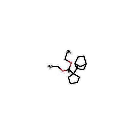 CCO[SiH](OCC)C1(C2=C3CCC(C3)C2)CCCC1